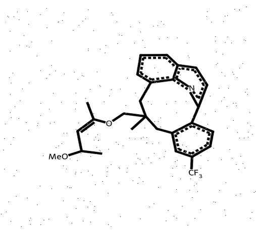 COC(C)/C=C(/C)OCC1(C)Cc2cc(C(F)(F)F)ccc2-c2ccc3cccc(c3n2)C1